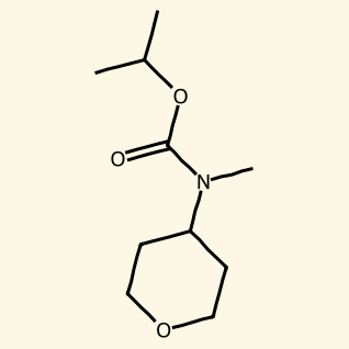 CC(C)OC(=O)N(C)C1CCOCC1